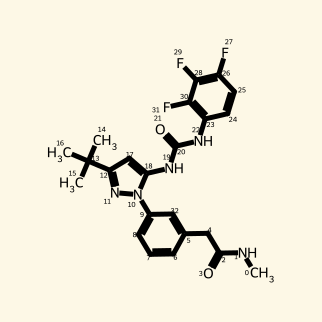 CNC(=O)Cc1cccc(-n2nc(C(C)(C)C)cc2NC(=O)Nc2ccc(F)c(F)c2F)c1